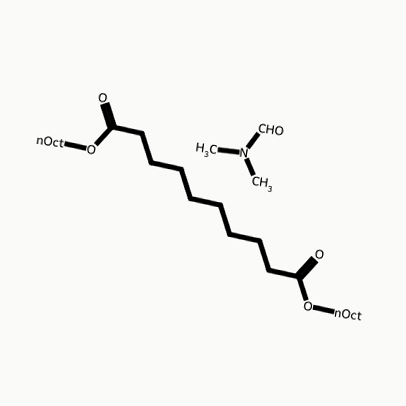 CCCCCCCCOC(=O)CCCCCCCCC(=O)OCCCCCCCC.CN(C)C=O